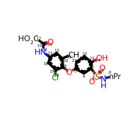 CCCNS(=O)(=O)c1cc(Oc2c(C)cc(NC(=O)C(=O)O)cc2Cl)ccc1O